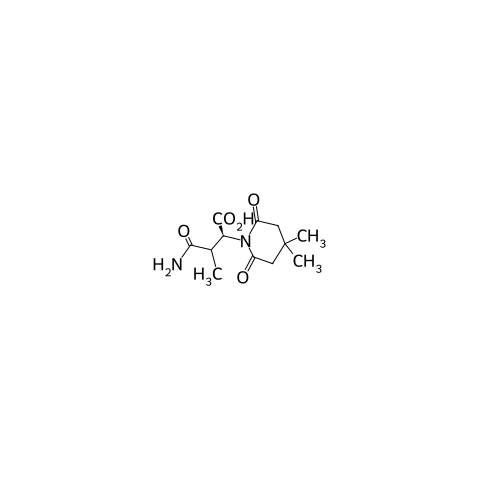 CC(C(N)=O)[C@@H](C(=O)O)N1C(=O)CC(C)(C)CC1=O